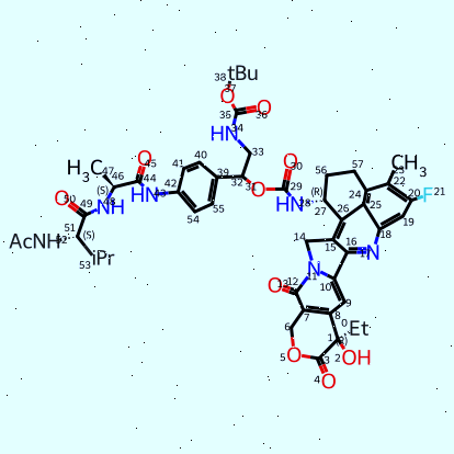 CC[C@]1(O)C(=O)OCc2c1cc1n(c2=O)Cc2c-1nc1cc(F)c(C)c3c1c2[C@H](NC(=O)OC(CNC(=O)OC(C)(C)C)c1ccc(NC(=O)[C@H](C)NC(=O)[C@@H](NC(C)=O)C(C)C)cc1)CC3